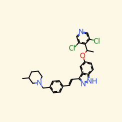 CC1CCCN(Cc2ccc(/C=C/c3n[nH]c4ccc(OC(C)c5c(Cl)cncc5Cl)cc34)cc2)C1